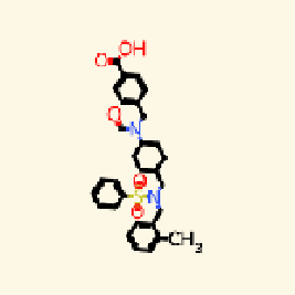 Cc1ccccc1CN(CC1CCC(N(C=O)Cc2ccc(C(=O)O)cc2)CC1)S(=O)(=O)c1ccccc1